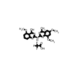 COc1cc(OC)c2nc(Nc3nc(O)c4c(OC)cccc4n3)nc(C)c2c1.O=C(O)C(F)(F)F